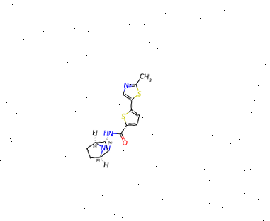 Cc1ncc(-c2ccc(C(=O)N[C@@H]3C[C@H]4CC[C@@H]3N4)s2)s1